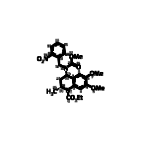 CCOC(=O)N1c2cc(OC)c(OC)cc2[C@@H](N(Cc2ccccc2[N+](=O)[O-])C(=O)OC)C[C@H]1C